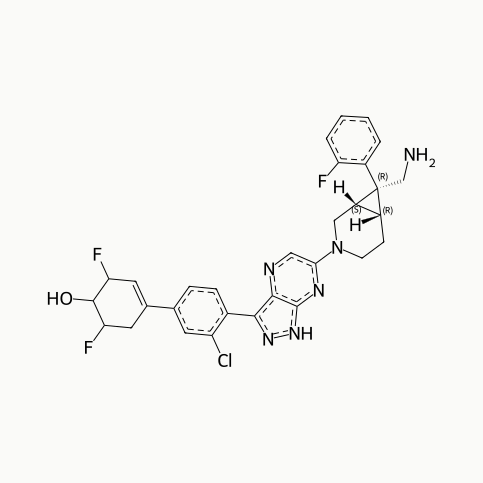 NC[C@]1(c2ccccc2F)[C@@H]2CCN(c3cnc4c(-c5ccc(C6=CC(F)C(O)C(F)C6)cc5Cl)n[nH]c4n3)C[C@@H]21